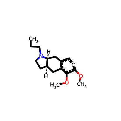 CCCN1CC[C@@H]2Cc3c(ccc(OC)c3OC)C[C@@H]21